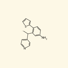 [CH2]C(c1ccncc1)c1cc(N)ccc1-c1cccs1